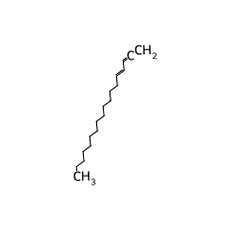 C=C=C/C=C/CCCCCCCCCCCCC